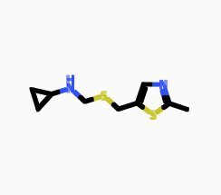 Cc1ncc(CSCNC2CC2)s1